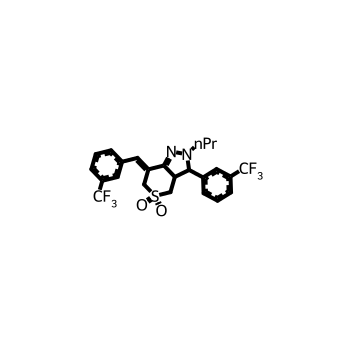 CCCN1N=C2C(=Cc3cccc(C(F)(F)F)c3)CS(=O)(=O)CC2C1c1cccc(C(F)(F)F)c1